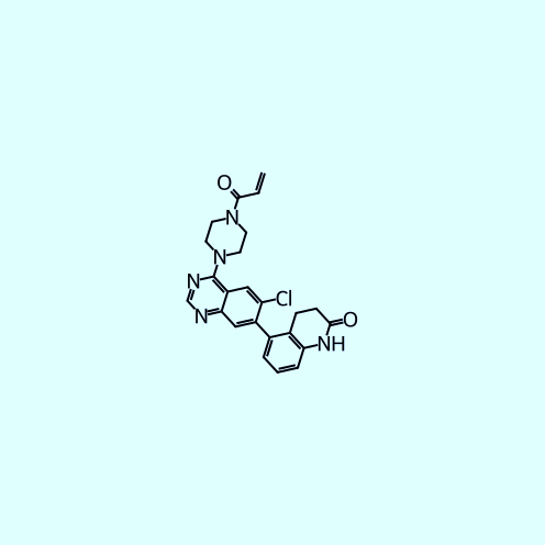 C=CC(=O)N1CCN(c2ncnc3cc(-c4cccc5c4CCC(=O)N5)c(Cl)cc23)CC1